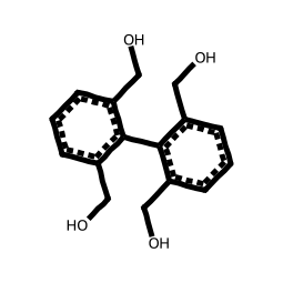 OCc1cccc(CO)c1-c1c(CO)cccc1CO